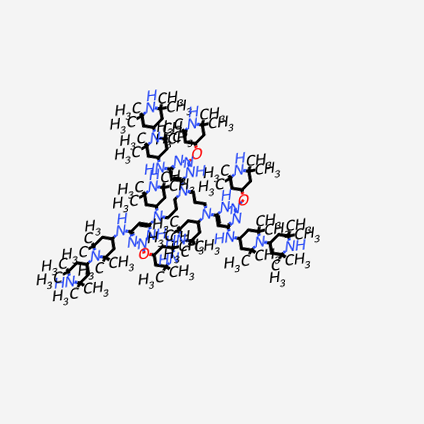 CC1(C)CC(ON2N=C(NC3CC(C)(C)N(C4CC(C)(C)NC(C)(C)C4)C(C)(C)C3)C=C(N(CCCN(C3=CC(NC4CC(C)(C)N(C5CC(C)(C)NC(C)(C)C5)C(C)(C)C4)=NN(OC4CC(C)(C)NC(C)(C)C4)N3)C3CC(C)(C)NC(C)(C)C3)CCCN(C3=CC(NC4CC(C)(C)N(C5CC(C)(C)NC(C)(C)C5)C(C)(C)C4)=NN(OC4CC(C)(C)NC(C)(C)C4)N3)C3CC(C)(C)NC(C)(C)C3)N2)CC(C)(C)N1